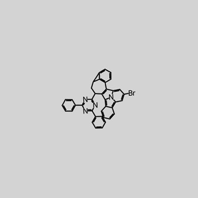 Brc1cc2c3c(c4c5ccccc5c(c1)n24)C(c1nc(-c2ccccc2)nc(-c2ccccc2)n1)CC1c2cccc-3c21